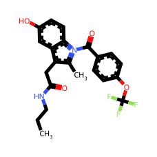 CCCNC(=O)Cc1c(C)n(C(=O)c2ccc(OC(F)(F)F)cc2)c2ccc(O)cc12